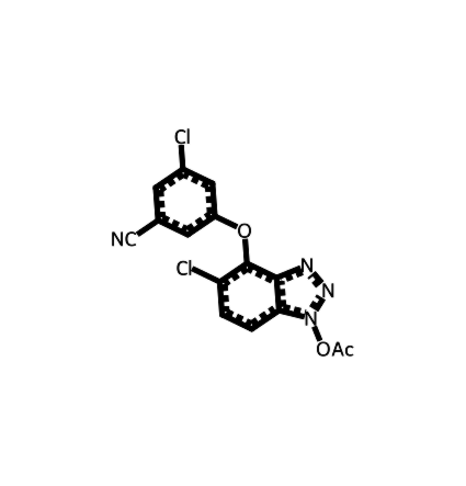 CC(=O)On1nnc2c(Oc3cc(Cl)cc(C#N)c3)c(Cl)ccc21